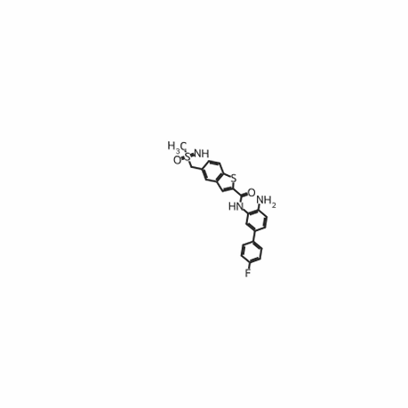 CS(=N)(=O)Cc1ccc2sc(C(=O)Nc3cc(-c4ccc(F)cc4)ccc3N)cc2c1